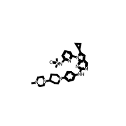 CN1CCN(C2CCN(c3ccc(Nc4ncc5cc(C6CC6)n(-c6cccc(N=S(C)(C)=O)n6)c5n4)cc3)CC2)CC1